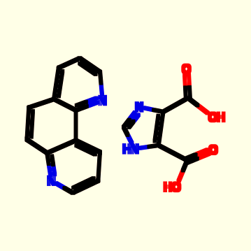 O=C(O)c1nc[nH]c1C(=O)O.c1cnc2c(c1)ccc1ncccc12